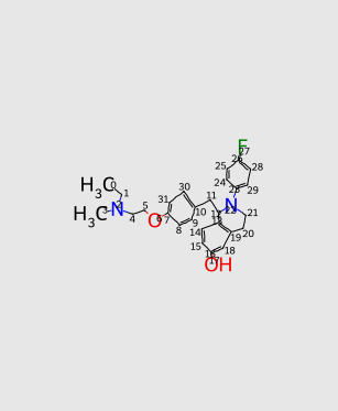 CCN(C)CCOc1ccc(CC2c3ccc(O)cc3CCN2c2ccc(F)cc2)cc1